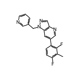 Cc1c(F)ccc(-c2cnc3cnn(Cc4cccnc4)c3c2)c1F